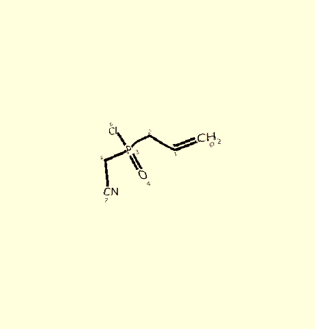 C=CCP(=O)(Cl)CC#N